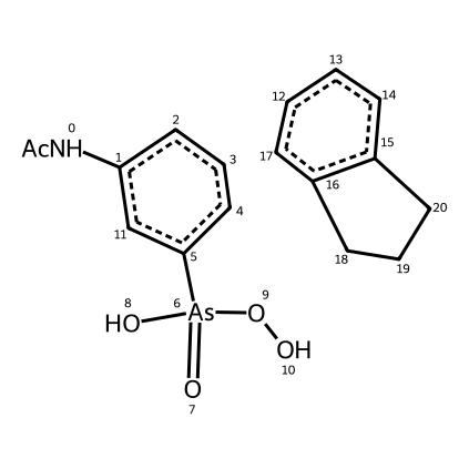 CC(=O)Nc1cccc([As](=O)(O)OO)c1.c1ccc2c(c1)CCC2